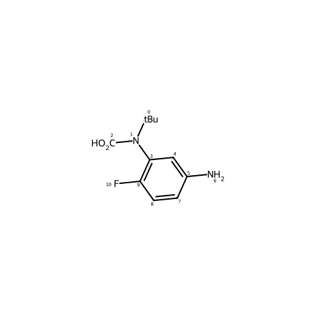 CC(C)(C)N(C(=O)O)c1cc(N)ccc1F